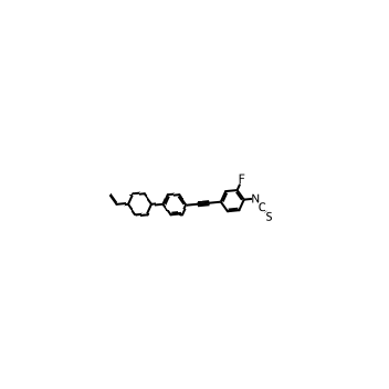 CCC1CCC(c2ccc(C#Cc3ccc(N=C=S)c(F)c3)cc2)CC1